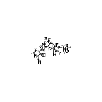 CS(=O)(=O)N1CC[C@H](Nc2ncc(C(F)(F)F)c(-c3cn(-c4ccnc(C#N)c4Cl)cn3)n2)[C@H](F)C1